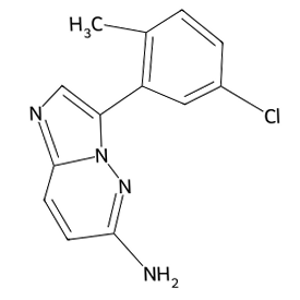 Cc1ccc(Cl)cc1-c1cnc2ccc(N)nn12